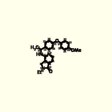 CCN1Cc2c(ccnc2NC(C)c2ccc(Oc3ccc(OC)cc3)cc2)C1=O